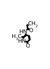 C=CC(=O)Nc1ccc(=O)[nH]c1C